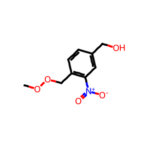 COOCc1ccc(CO)cc1[N+](=O)[O-]